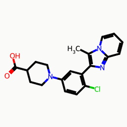 Cc1c(-c2cc(N3CCC(C(=O)O)CC3)ccc2Cl)nc2ccccn12